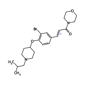 CC(C)CN1CCC(Oc2ccc(/C=C/C(=O)N3CCOCC3)cc2Br)CC1